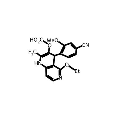 CCOc1nccc2c1C(c1ccc(C#N)cc1OC)C(OC(=O)O)=C(C(F)(F)F)N2